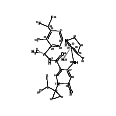 C[C@@H](NC(=O)c1cn(C2(C(F)F)CC2)c(=O)cc1N[C@@H]1CN2CCC1(F)CC2)c1cccc(C(F)F)c1F